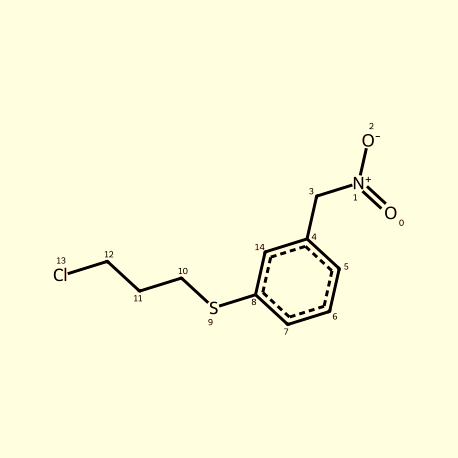 O=[N+]([O-])Cc1cccc(SCCCCl)c1